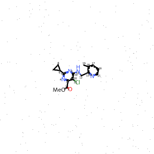 COC(=O)c1nc(C2CC2)nc(NCc2ncccc2C)c1Cl